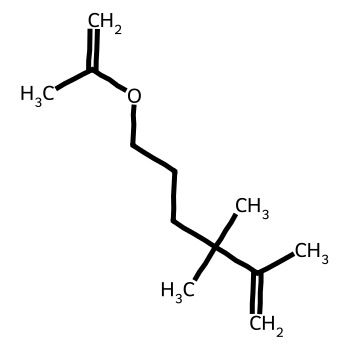 C=C(C)OCCCC(C)(C)C(=C)C